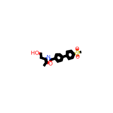 Cc1oc(-c2ccc(-c3ccc(S(C)(=O)=O)cc3)cc2)nc1CCO